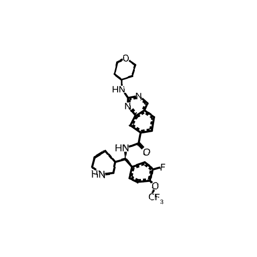 O=C(N[C@@H](c1ccc(OC(F)(F)F)c(F)c1)C1CCCNC1)c1ccc2cnc(NC3CCOCC3)nc2c1